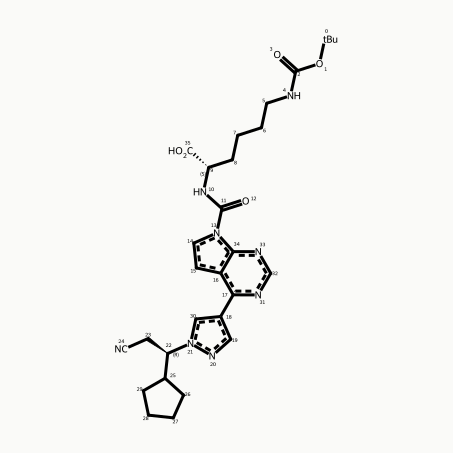 CC(C)(C)OC(=O)NCCCC[C@H](NC(=O)n1ccc2c(-c3cnn([C@H](CC#N)C4CCCC4)c3)ncnc21)C(=O)O